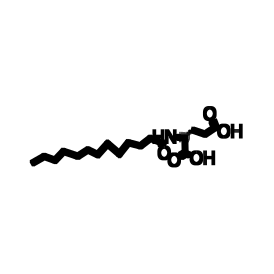 CCCCCCCCCCCCC(=O)N[C@H](CCC(=O)O)C(=O)O